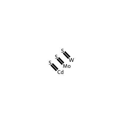 [S]=[Cd].[S]=[Mo].[S]=[W]